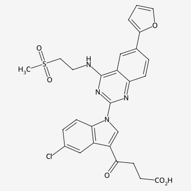 CS(=O)(=O)CCNc1nc(-n2cc(C(=O)CCC(=O)O)c3cc(Cl)ccc32)nc2ccc(-c3ccco3)cc12